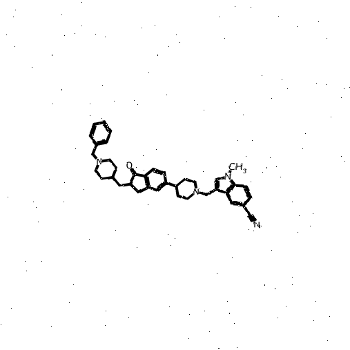 Cn1cc(CN2CCC(c3ccc4c(c3)CC(CC3CCN(Cc5ccccc5)CC3)C4=O)CC2)c2cc(C#N)ccc21